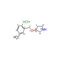 Cc1cccc(CO[C@H]2CCNC2)c1.Cl